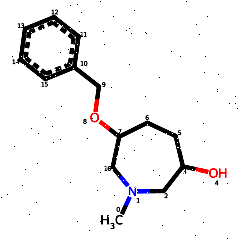 CN1CC(O)CCC(OCc2ccccc2)C1